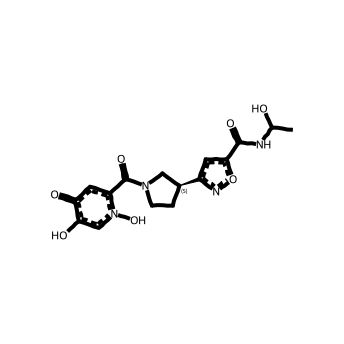 CC(O)NC(=O)c1cc([C@H]2CCN(C(=O)c3cc(=O)c(O)cn3O)C2)no1